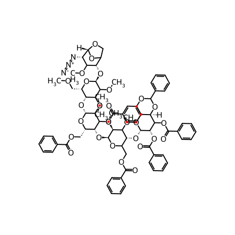 COC[C@@H]1O[C@@H](O[C@H]2C3CO[C@H](O3)[C@@H](N=[N+]=[N-])C2OC)C(OC)C(OC)[C@@H]1O[C@H]1O[C@@H](COC(=O)c2ccccc2)[C@@H](O[C@@H]2OC(COC(=O)c3ccccc3)[C@@H](O[C@@H]3OC4COC(c5ccccc5)O[C@H]4C(OC(=O)c4ccccc4)[C@@H]3OC(=O)c3ccccc3)C(OC)[C@@H]2OC(=O)c2ccccc2)C(OC)C1OC